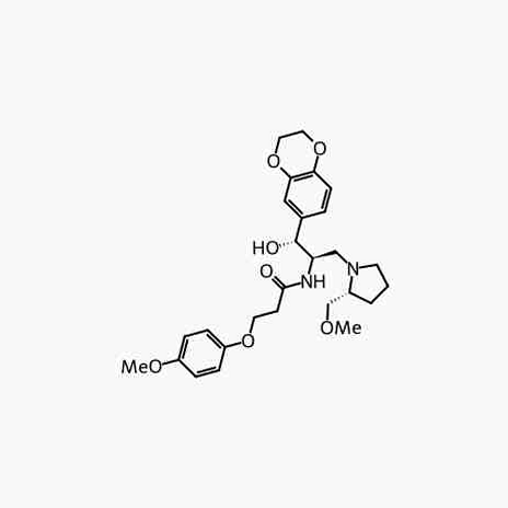 COC[C@H]1CCCN1C[C@@H](NC(=O)CCOc1ccc(OC)cc1)[C@H](O)c1ccc2c(c1)OCCO2